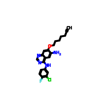 C#CCCCCCOc1cc2ncnc(Nc3ccc(F)c(Cl)c3)c2cc1N